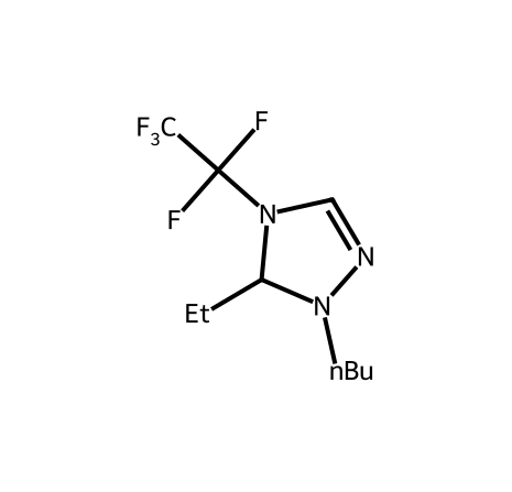 CCCCN1N=CN(C(F)(F)C(F)(F)F)C1CC